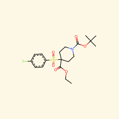 CCOC(=O)C1(S(=O)(=O)c2ccc(F)cc2)CCN(C(=O)OC(C)(C)C)CC1